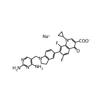 Nc1ncc(CN2CCc3cc(-c4c(F)cc5c(=O)c(C(=O)[O-])cn(C6CC6)c5c4F)ccc32)c(N)n1.[Na+]